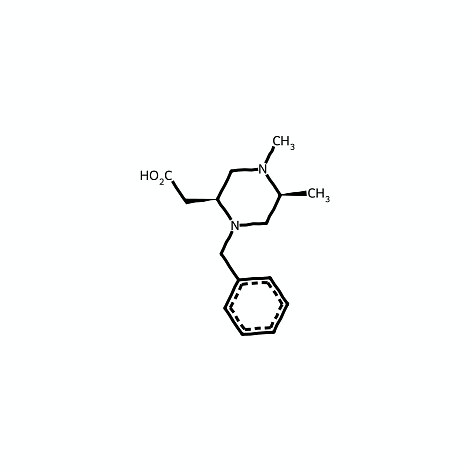 C[C@H]1CN(Cc2ccccc2)[C@@H](CC(=O)O)CN1C